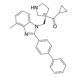 Cc1cccc2c1nc(-c1ccc(-c3ccccc3)cc1)n2C[C@]1(C(=O)C2CC2)CCNC1